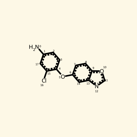 Nc1ccc(Oc2ccc3ocnc3c2)c(Cl)c1